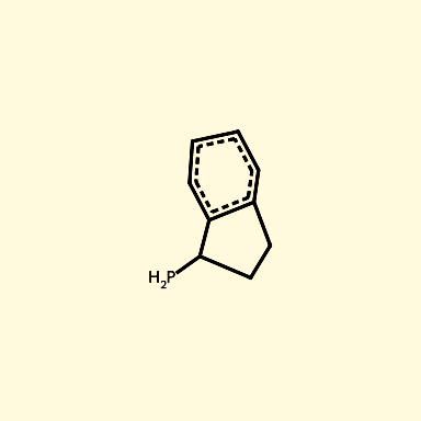 PC1CCc2ccccc21